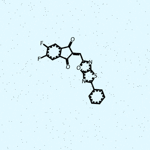 O=C1C(=Cc2nc3sc(-c4ccccc4)nc3o2)C(=O)c2cc(F)c(F)cc21